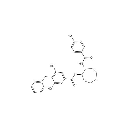 O=C(N[C@@H]1CCCCC[C@H]1OC(=O)c1cc(O)c(Cc2ccccc2)c(O)c1)c1ccc(O)cc1